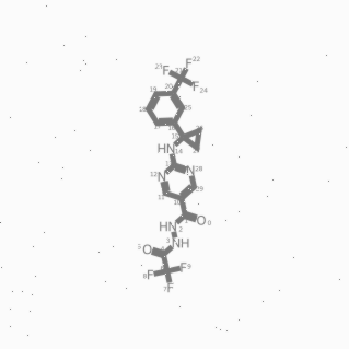 O=C(NNC(=O)C(F)(F)F)c1cnc(NC2(c3cccc(C(F)(F)F)c3)CC2)nc1